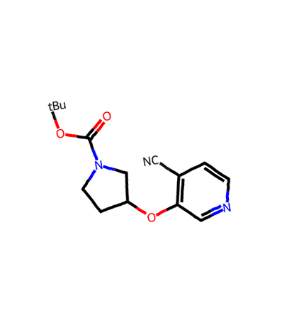 CC(C)(C)OC(=O)N1CCC(Oc2cnccc2C#N)C1